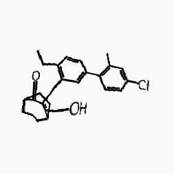 CCc1ccc(-c2ccc(Cl)cc2C)cc1C1=C(O)C2CCC(CC2)C1=O